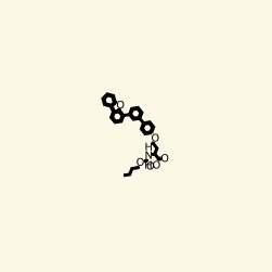 CCCCOC(=O)NC(CCOc1ccc(-c2cccc(-c3cccc4c3oc3ccccc34)c2)cc1)C(=O)O